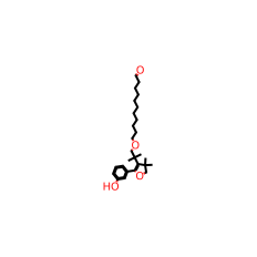 CC(C)(COCCCCCCCCCCC=O)C1=C(c2cccc(O)c2)OCC1(C)C